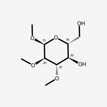 CO[C@H]1O[C@H](CO)[C@@H](O)[C@H](OC)[C@H]1OC